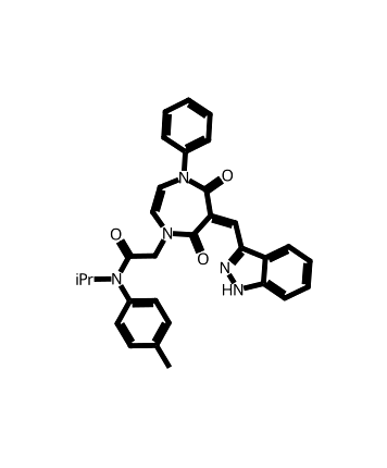 Cc1ccc(N(C(=O)CN2C=CN(c3ccccc3)C(=O)C(=Cc3n[nH]c4ccccc34)C2=O)C(C)C)cc1